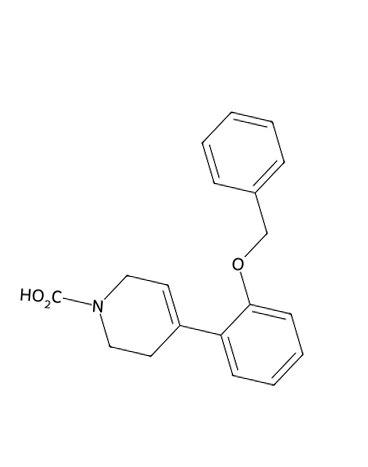 O=C(O)N1CC=C(c2ccccc2OCc2ccccc2)CC1